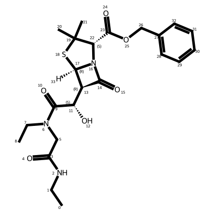 CCNC(=O)CN(CC)C(=O)[C@@H](O)[C@@H]1C(=O)N2[C@@H]1SC(C)(C)[C@@H]2C(=O)OCc1ccccc1